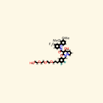 COc1cccc(-c2cc(C(F)(F)F)ccc2NC(=O)C2=C(O)[C@@]3(C)CCCN3N(Cc3ccc(CCCOCCOCCOCCO)c(F)c3F)C2=O)c1OC